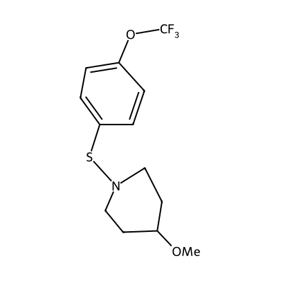 COC1CCN(Sc2ccc(OC(F)(F)F)cc2)CC1